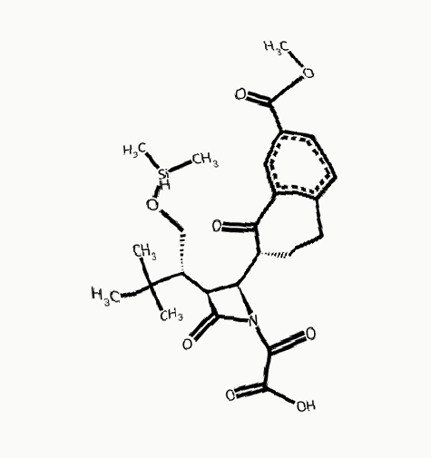 COC(=O)c1ccc2c(c1)C(=O)[C@@H]([C@@H]1[C@H]([C@@H](CO[SiH](C)C)C(C)(C)C)C(=O)N1C(=O)C(=O)O)CC2